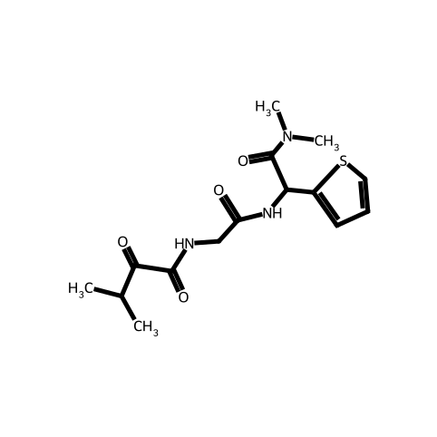 CC(C)C(=O)C(=O)NCC(=O)NC(C(=O)N(C)C)c1cccs1